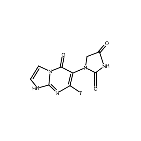 O=C1CN(c2c(F)nc3[nH]ccn3c2=O)C(=O)N1